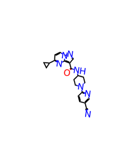 N#Cc1ccc(N2CCC(NC(=O)c3cnn4ccc(C5CC5)nc34)CC2)nc1